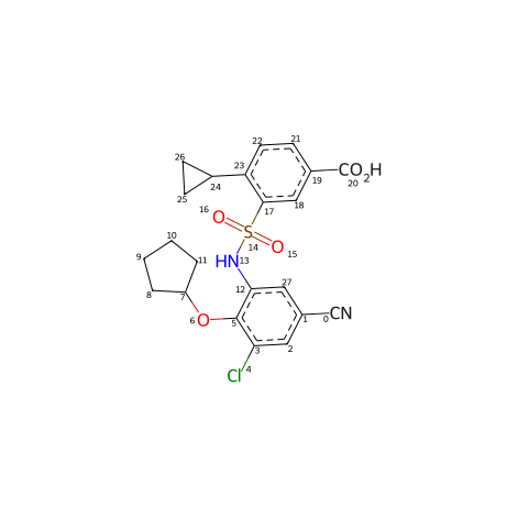 N#Cc1cc(Cl)c(OC2CCCC2)c(NS(=O)(=O)c2cc(C(=O)O)ccc2C2CC2)c1